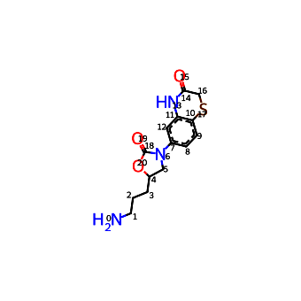 NCCCC1CN(c2ccc3c(c2)NC(=O)CS3)C(=O)O1